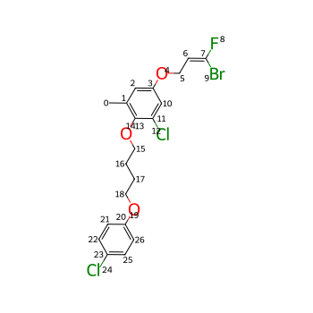 Cc1cc(OCC=C(F)Br)cc(Cl)c1OCCCCOc1ccc(Cl)cc1